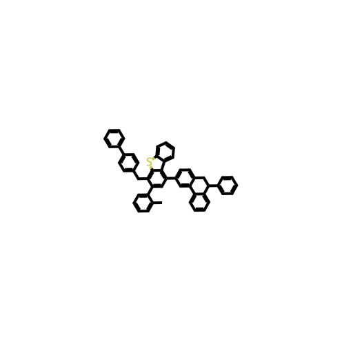 Cc1ccccc1-c1cc(-c2ccc3c(c2)-c2ccccc2C(c2ccccc2)C3)c2c(sc3ccccc32)c1Cc1ccc(-c2ccccc2)cc1